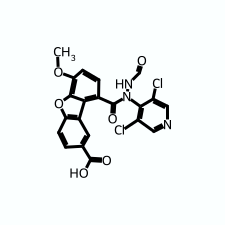 COc1ccc(C(=O)N(NC=O)c2c(Cl)cncc2Cl)c2c1oc1ccc(C(=O)O)cc12